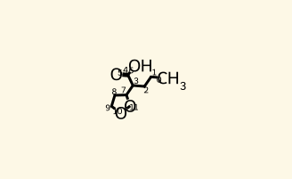 CCCC(C(=O)O)C1CCOO1